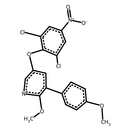 COc1ccc(-c2cc(Oc3c(Cl)cc([N+](=O)[O-])cc3Cl)cnc2OC)cc1